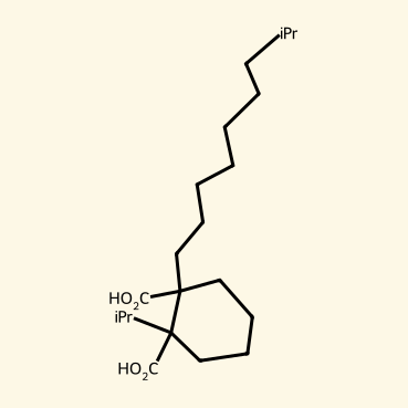 CC(C)CCCCCCCC1(C(=O)O)CCCCC1(C(=O)O)C(C)C